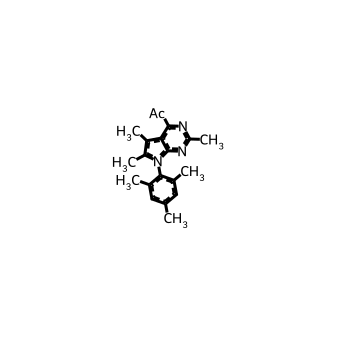 CC(=O)c1nc(C)nc2c1c(C)c(C)n2-c1c(C)cc(C)cc1C